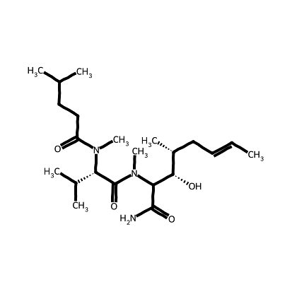 C/C=C/C[C@@H](C)[C@H](O)C(C(N)=O)N(C)C(=O)[C@H](C(C)C)N(C)C(=O)CCC(C)C